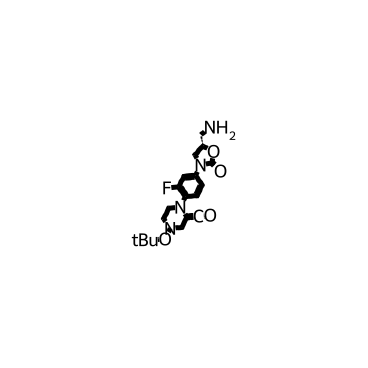 CC(C)(C)ON1CCN(c2ccc(N3C[C@H](CN)OC3=O)cc2F)C(=C=O)C1